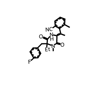 CCC1(Cc2ccc(F)cc2)C(=O)NC(=C(C)c2c(C)cccc2C#N)C(=O)N1C